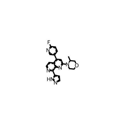 CC1COCCN1c1cc(-c2ccc(F)nc2)c2ccnc(-c3ccn[nH]3)c2n1